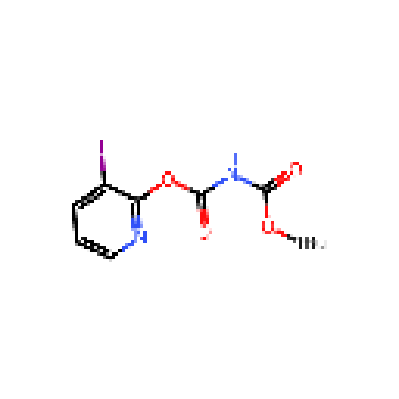 CC(C)(C)OC(=O)NC(=O)Oc1ncccc1I